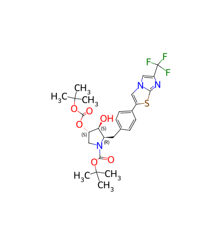 CC(C)(C)OC(=O)O[C@H]1CN(C(=O)OC(C)(C)C)[C@H](Cc2ccc(-c3cn4cc(C(F)(F)F)nc4s3)cc2)[C@@H]1O